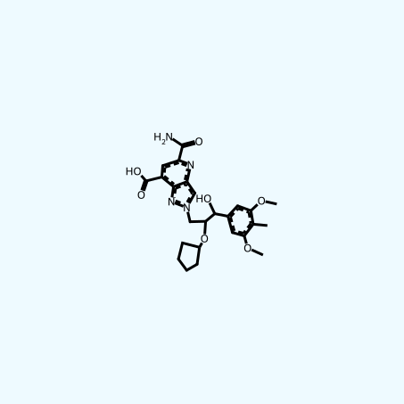 COc1cc(C(O)C(Cn2cc3nc(C(N)=O)cc(C(=O)O)c3n2)OC2CCCC2)cc(OC)c1C